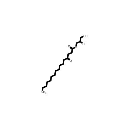 CCCCCCCCCCCCC(=O)CCC(=O)OCC(O)CO